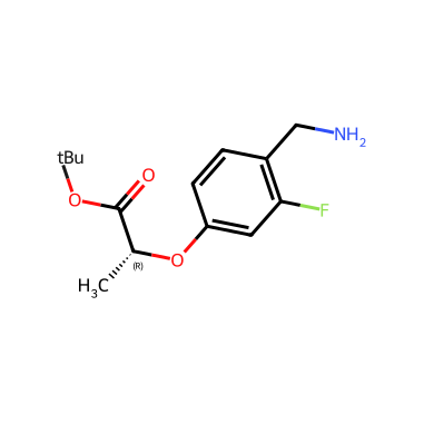 C[C@@H](Oc1ccc(CN)c(F)c1)C(=O)OC(C)(C)C